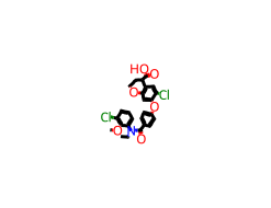 CCN(C(=O)c1ccc(Oc2cc3c(cc2Cl)C(C(=O)O)CCO3)cc1)c1cccc(Cl)c1OC